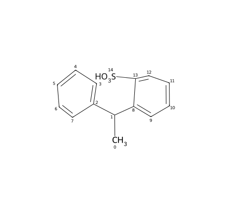 CC(c1ccccc1)c1ccccc1S(=O)(=O)O